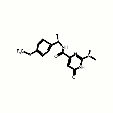 C[C@@H](NC(=O)c1cc(=O)[nH]c(N(C)C)n1)c1ccc(SC(F)(F)F)cc1